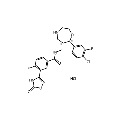 Cl.O=C(NC[C@@H]1CNCCO[C@H]1c1ccc(Cl)c(F)c1)c1ccc(F)c(-c2noc(=O)[nH]2)c1